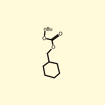 CCCCOC(=O)O[CH]C1CCCCC1